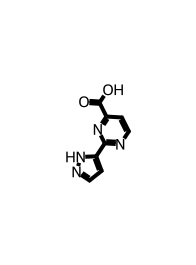 O=C(O)c1ccnc(-c2ccn[nH]2)n1